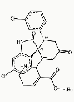 CC(C)(C)OC(=O)C1=CCCNC1C1=CC(=O)C[C@@H](c2cccc(Cl)c2)[C@@]12C(=O)Nc1cc(Cl)ccc12